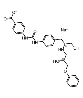 O=C(Nc1ccc(C[C@@H](CO)NC[C@H](O)COc2ccccc2)cc1)Nc1ccc(C(=O)[O-])cc1.[Na+]